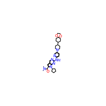 CN(C)C(=O)c1cc2cnc(Nc3ccc(N4CCC(C5CCC6(CC5)OCCO6)CC4)cn3)nc2n1C1CCCC1